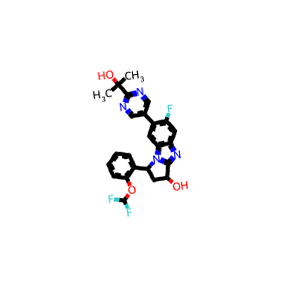 CC(C)(O)c1ncc(-c2cc3c(cc2F)nc2n3C(c3ccccc3OC(F)F)CC2O)cn1